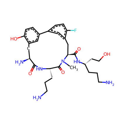 CN1C(=O)[C@H](CCCN)NC(=O)[C@@H](N)Cc2cc(ccc2O)-c2ccc(F)c(c2)C[C@H]1C(=O)N[C@H](CCO)CCCN